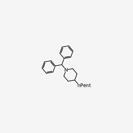 [CH2]CCCCC1CCN(C(c2ccccc2)c2ccccc2)CC1